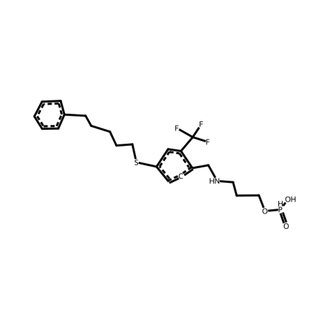 O=[PH](O)OCCCNCc1ccc(SCCCCCc2ccccc2)cc1C(F)(F)F